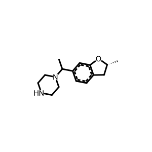 CC(c1ccc2c(c1)O[C@H](C)C2)N1CCNCC1